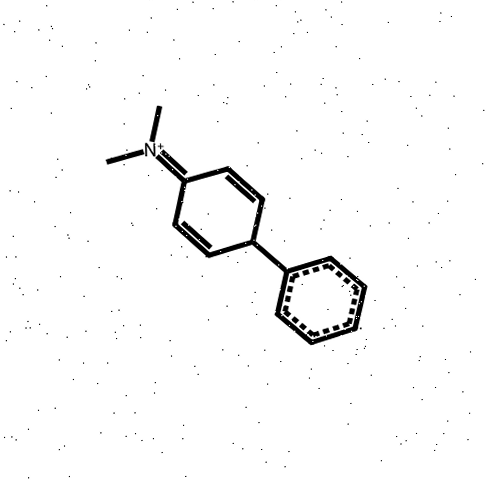 C[N+](C)=C1C=CC(c2cc[c]cc2)C=C1